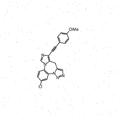 COc1ccc(C#Cc2ncn3c2Cc2cnnn2-c2cc(Cl)ccc2-3)cc1